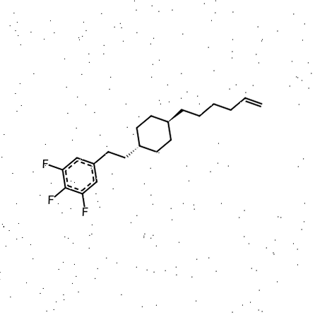 C=CCCCC[C@H]1CC[C@H](CCc2cc(F)c(F)c(F)c2)CC1